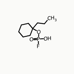 CCCC1(OP(=O)(O)F)CCCCC1